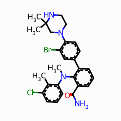 Cc1c(Cl)cccc1N(C)c1c(C(N)=O)cccc1-c1ccc(N2CCNC(C)(C)C2)c(Br)c1